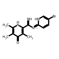 Cc1[nH]c(C(=N)/N=c2/ccc(Br)c[nH]2)c(C)c(=O)c1C